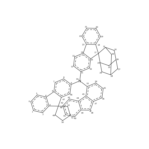 c1ccc2c(c1)-c1ccc(N(c3ccc4c(c3)C3(c5ccccc5-4)C4CC5CC(C4)CC3C5)c3cccc4sc5ccccc5c34)cc1C21CCCC1